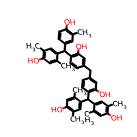 Cc1cc(C(c2cc(C)c(O)cc2C)c2ccc(Cc3ccc(C(c4cc(C)c(O)cc4C)c4cc(C)c(O)cc4C)c(O)c3)cc2O)ccc1O